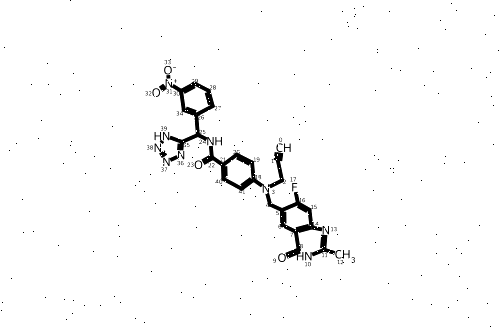 C#CCN(Cc1cc2c(=O)[nH]c(C)nc2cc1F)c1ccc(C(=O)NC(c2cccc([N+](=O)[O-])c2)c2nnn[nH]2)cc1